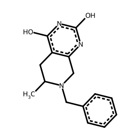 CC1Cc2c(O)nc(O)nc2CN1Cc1ccccc1